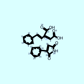 O=C(O)/C=C(/C=Cc1ccccc1)C(=O)O.O=C1C=C(c2ccccc2)C(=O)N1